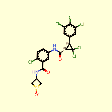 O=C(NC1C[S+]([O-])C1)c1cc(NC(=O)[C@@H]2[C@@H](c3cc(Cl)c(Cl)c(Cl)c3)C2(Cl)Cl)ccc1Cl